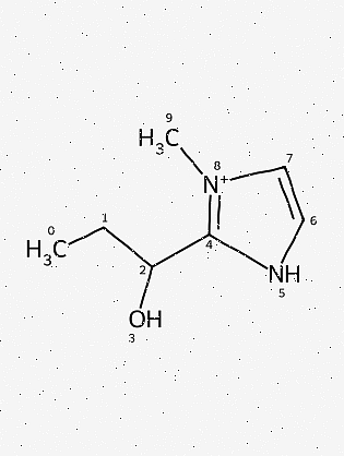 CCC(O)c1[nH]cc[n+]1C